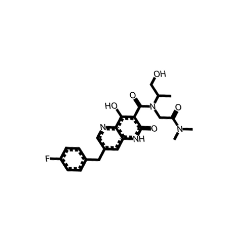 CC(CO)N(CC(=O)N(C)C)C(=O)c1c(O)c2ncc(Cc3ccc(F)cc3)cc2[nH]c1=O